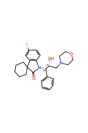 O=C1N([C@@H](c2ccccc2)[C@H](O)CN2CCOCC2)c2ccc(F)cc2C12CCCCC2